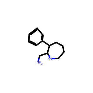 NCC1NCCCCC1c1ccccc1